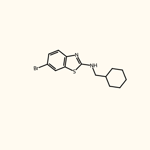 Brc1ccc2nc(NCC3CCCCC3)sc2c1